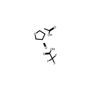 C1CCOC1.C=O.CC(=O)O.O=C(O)C(F)(F)F